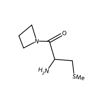 CSCC(N)C(=O)N1CCC1